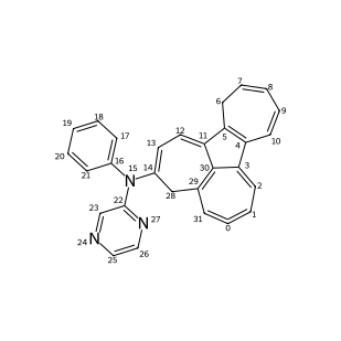 C1=CC=C2C3=C(CC=CC=C3)C3=CC=C(N(c4ccccc4)c4cnccn4)CC(=C23)C=1